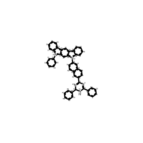 c1ccc(C2=NC(c3ccc4cc(-n5c6ccccc6c6cc7c8ccccc8n(-c8ccccc8)c7cc65)ccc4c3)=NC(c3ccccc3)N2)cc1